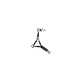 CON1OC1=O